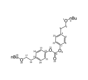 CCCCOCCc1ccc(OC(=O)Oc2ccc(CCOCCCC)cc2)cc1